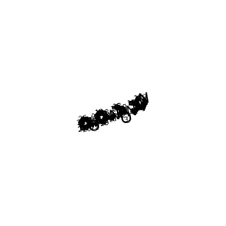 CC1(C(=O)N2Cc3ccncc3C2)CCN(Cc2cccc(Oc3ccccc3)c2)C1